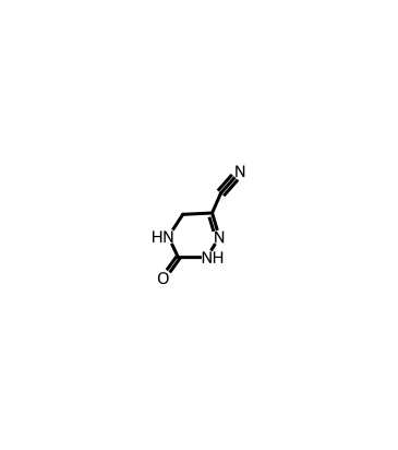 N#CC1=NNC(=O)NC1